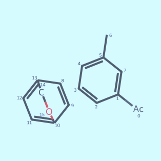 CC(=O)c1cccc(C)c1.c1cc2ccc1CO2